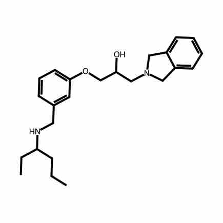 CCCC(CC)NCc1cccc(OCC(O)CN2Cc3ccccc3C2)c1